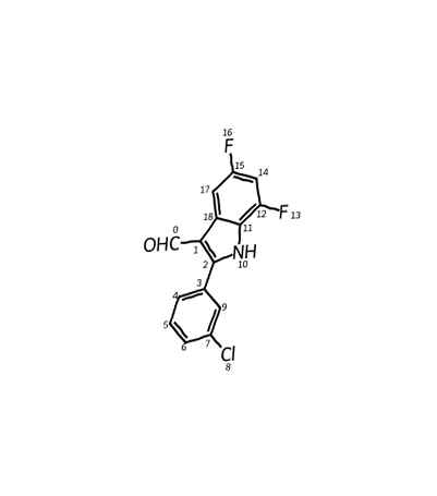 O=Cc1c(-c2cccc(Cl)c2)[nH]c2c(F)cc(F)cc12